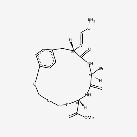 BOC=N[C@H]1Cc2ccc(cc2)OCCCC[C@@H](C(=O)OC)NC(=O)[C@H](C(C)C)NC1=O